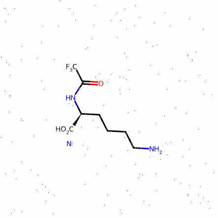 NCCCC[C@H](NC(=O)C(F)(F)F)C(=O)O.[N]